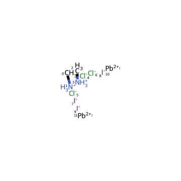 C[NH3+].C[NH3+].[Cl-].[Cl-].[Cl-].[I-].[I-].[I-].[Pb+2].[Pb+2]